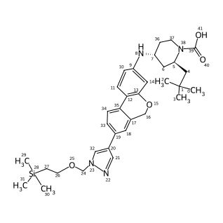 CC(C)(C)C[C@H]1C[C@H](Nc2ccc3c(c2)OCc2cc(-c4cnn(COCC[Si](C)(C)C)c4)ccc2-3)CCN1C(=O)O